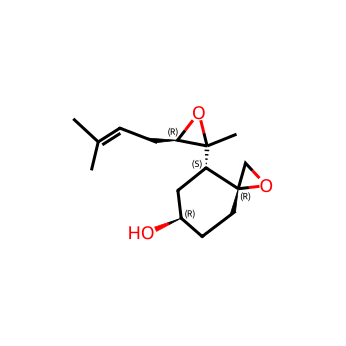 CC(C)=CC[C@H]1OC1(C)[C@H]1C[C@H](O)CC[C@]12CO2